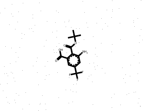 CC(C)(C)OC(=O)c1c(N)cc(C(F)(F)F)cc1C(=O)O